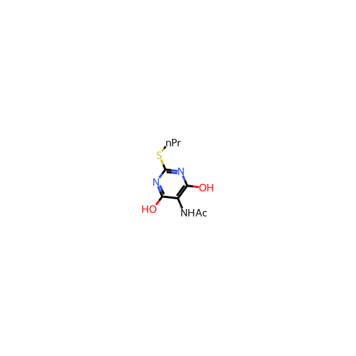 CCCSc1nc(O)c(NC(C)=O)c(O)n1